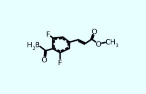 BC(=O)c1c(F)cc(/C=C/C(=O)OC)cc1F